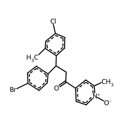 Cc1cc(Cl)ccc1C(CC(=O)c1cc[n+]([O-])c(C)c1)c1ccc(Br)cc1